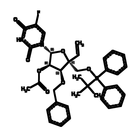 C=C[C@]1(CO[Si](c2ccccc2)(c2ccccc2)C(C)(C)C)O[C@@H](n2cc(F)c(=O)[nH]c2=O)[C@H](OC(C)=O)[C@@H]1OCc1ccccc1